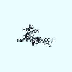 CC(C)Oc1cc(-n2nc(C(C)(C)C)oc2=O)c(Cl)cc1Cl.CP(=O)(O)CCC(N)C(=O)O.N#Cc1cc(Br)c(O)c(Br)c1